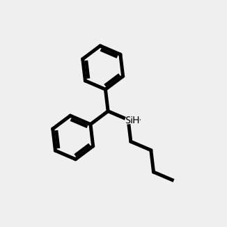 CCCC[SiH]C(c1ccccc1)c1ccccc1